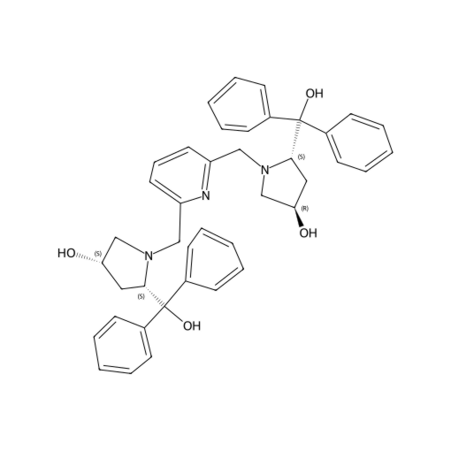 O[C@@H]1C[C@@H](C(O)(c2ccccc2)c2ccccc2)N(Cc2cccc(CN3C[C@@H](O)C[C@H]3C(O)(c3ccccc3)c3ccccc3)n2)C1